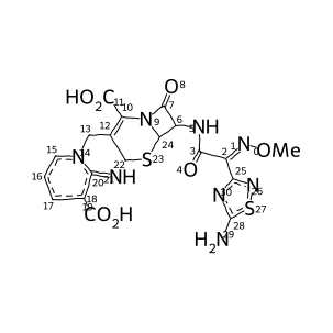 CON=C(C(=O)NC1C(=O)N2C(C(=O)O)=C(Cn3cccc(C(=O)O)c3=N)CSC12)c1nsc(N)n1